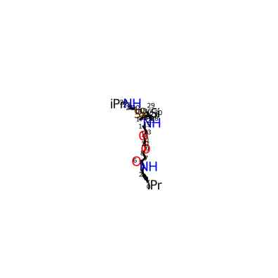 CC(C)C#CCNC(=O)CCOCCOCCNC(C)(SSCCNC(C)C)C(C)(C)[Si](C)(C)C